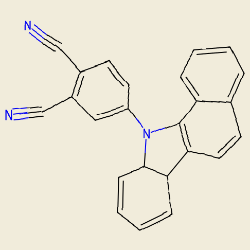 N#Cc1ccc(N2c3c(ccc4ccccc34)C3C=CC=CC32)cc1C#N